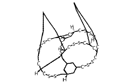 C1SSCC2CC3CSSC[C@H]4CC5CSSCC6C[C@H](CSSC[C@@H]7CC1CC(CSSC[C@H](C5)C4)C7)C[C@H](CSSC[C@@H](C2)C3)C6